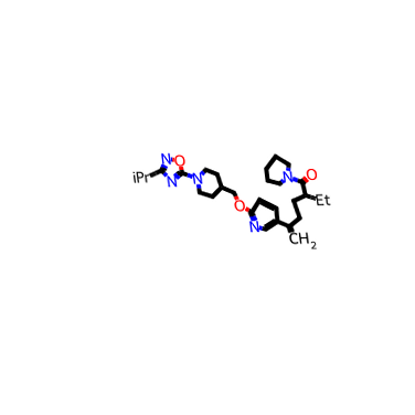 C=C(CCC(CC)C(=O)N1CCCCC1)c1ccc(OCC2CCN(c3nc(C(C)C)no3)CC2)nc1